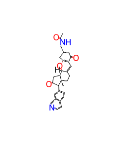 CC(=O)NCC1CC(=O)C2=C(C1)O[C@@H]1C(=C2)CC[C@@]2(C)C1CC(=O)[C@@H]2c1ccc2ccncc2c1